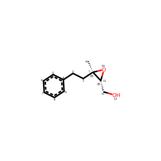 C[C@]1(CCc2ccccc2)O[C@@H]1CO